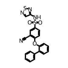 N#Cc1cc(S(=O)(=O)Nc2cnsn2)ccc1Oc1ccccc1-c1ccccc1